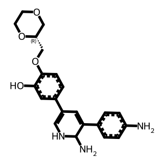 Nc1ccc(C2=CC(c3ccc(OC[C@H]4COCCO4)c(O)c3)=CNC2N)cc1